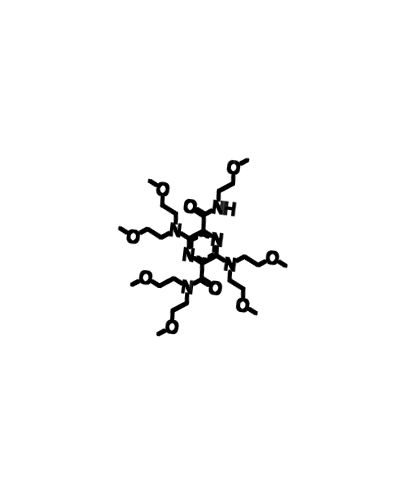 COCCNC(=O)c1nc(N(CCOC)CCOC)c(C(=O)N(CCOC)CCOC)nc1N(CCOC)CCOC